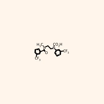 CN(CCN(C(=O)O)c1cccc(C(F)(F)F)c1)C(=O)c1cccc(C(F)(F)F)c1